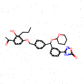 CCCc1c(OCc2ccc(C(OC3CCCCO3)c3cccc(-c4noc(=O)[nH]4)c3)cc2)ccc(C(C)=O)c1O